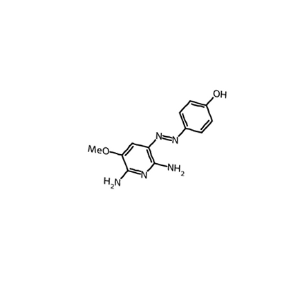 COc1cc(N=Nc2ccc(O)cc2)c(N)nc1N